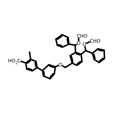 Cc1cc(-c2cccc(OCc3ccc(C(OC=O)c4ccccc4)c(C(OC=O)c4ccccc4)c3)c2)ccc1C(=O)O